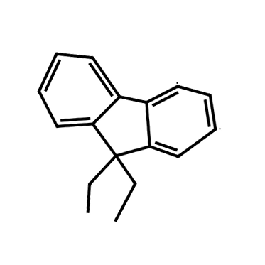 CCC1(CC)c2c[c]c[c]c2-c2ccccc21